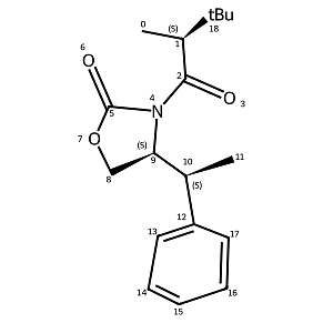 C[C@H](C(=O)N1C(=O)OC[C@@H]1[C@@H](C)c1ccccc1)C(C)(C)C